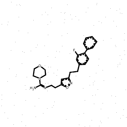 NC(=NCCc1cc(CCc2ccc(-c3ccccc3)c(F)c2)no1)N1CCOCC1